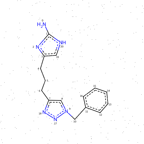 Nc1nc(CCCc2cn(Cc3ccccc3)nn2)c[nH]1